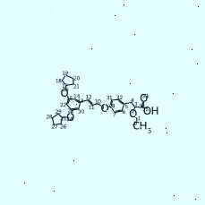 CCOC(Cc1ccc(OCC=Cc2cc(OC3CCCC3)cc(OC3CCCC3)c2)cc1)C(=O)O